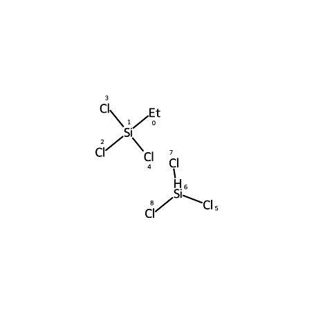 CC[Si](Cl)(Cl)Cl.Cl[SiH](Cl)Cl